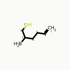 BC(CS)CCC=C